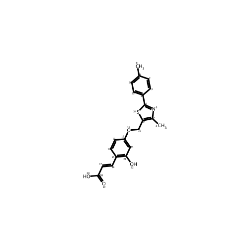 Cc1ccc(-c2nc(C)c(COc3ccc(C=CC(=O)O)c(O)c3)s2)cc1